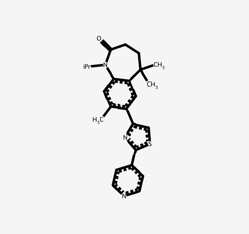 Cc1cc2c(cc1-c1csc(-c3ccncc3)n1)C(C)(C)CCC(=O)N2C(C)C